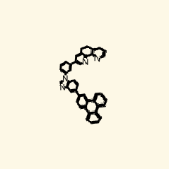 c1cc(-c2cnc3c(ccc4cccnc43)c2)cc(-n2cnc3cc(-c4ccc5c6ccccc6c6ccccc6c5c4)ccc32)c1